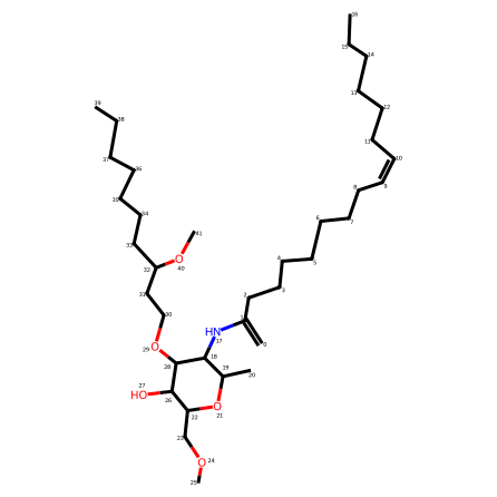 C=C(CCCCCCC/C=C\CCCCCC)NC1C(C)OC(COC)C(O)C1OCCC(CCCCCCC)OC